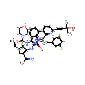 C=C[C@@H]1CC(C(=N)C(F)(F)F)=C(NCC(=O)N[C@@H](Cc2cc(F)cc(F)c2)c2nc(C#CC(C)(C)O)ccc2-c2cccc3c(NC(=O)N4CCOCC4)nn(C)c23)C1(F)F